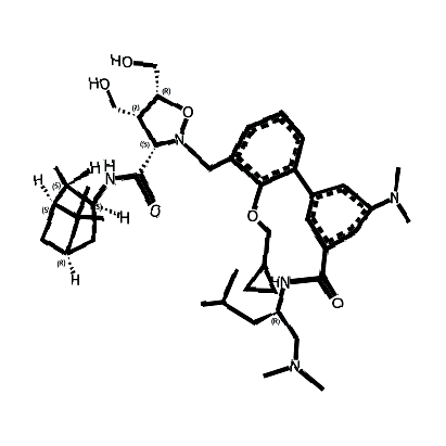 CC(C)C[C@H](CN(C)C)NC(=O)c1cc(-c2cccc(CN3O[C@@H](CO)[C@@H](CO)[C@H]3C(=O)N[C@H]3C[C@H]4C[C@@H]([C@@H]3C)C4(C)C)c2OCC2CC2)cc(N(C)C)c1